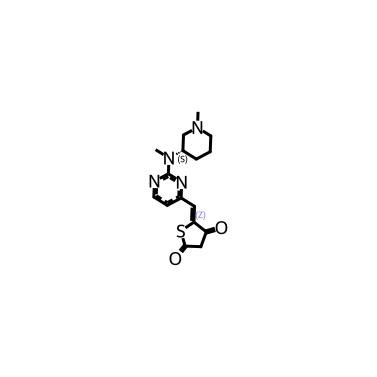 CN1CCC[C@H](N(C)c2nccc(/C=C3\SC(=O)CC3=O)n2)C1